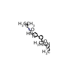 CCc1cnc(NC(=O)[C@@H](C)c2cccc(-c3ccc(NC(=O)/C=C/CN(C)C)nc3)c2)s1